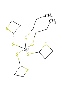 CCC[S][Sb]([S]CCC)([S]C1CCS1)([S]C1CCS1)[S]C1CCS1